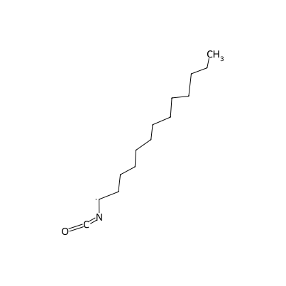 CCCCCCCCCCCC[CH]N=C=O